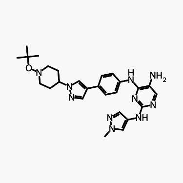 Cn1cc(Nc2ncc(N)c(Nc3ccc(-c4cnn(C5CCN(OC(C)(C)C)CC5)c4)cc3)n2)cn1